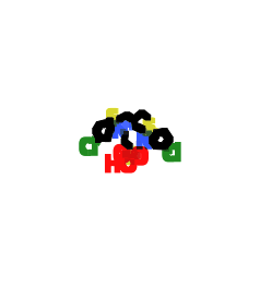 CCC(=Cc1sc2ccc(Cl)cc2[n+]1CCCS(=O)(=O)O)C=C1Sc2ccc(Cl)cc2N1C